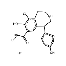 CCNC(=O)c1cc2c(c(Cl)c1O)CCNCC2c1ccc(O)cc1.Cl